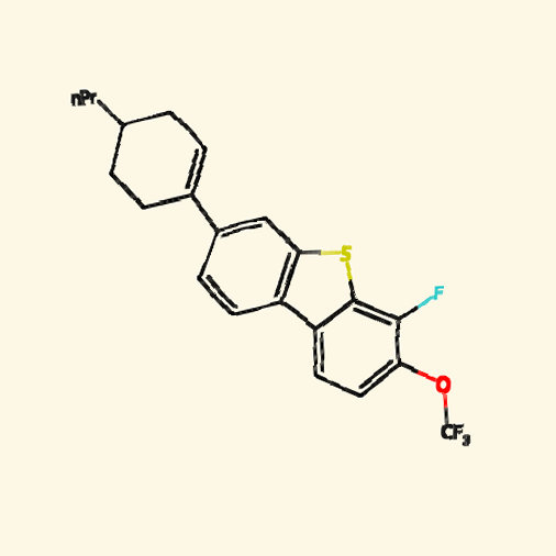 CCCC1CC=C(c2ccc3c(c2)sc2c(F)c(OC(F)(F)F)ccc23)CC1